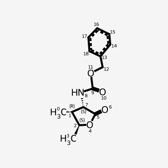 C[C@H]1[C@H](C)OC(=O)[C@H]1NC(=O)OCc1ccccc1